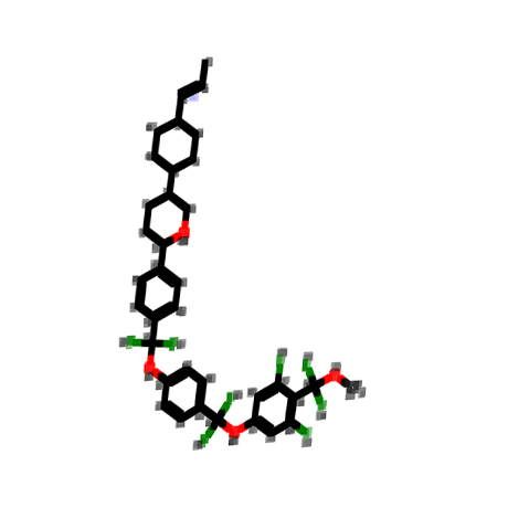 C/C=C/C1CCC(C2CCC(c3ccc(C(F)(F)Oc4ccc(C(F)(F)Oc5cc(F)c(C(F)(F)OC(F)(F)F)c(F)c5)cc4)cc3)OC2)CC1